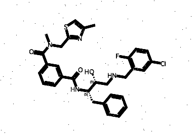 Cc1csc(CN(C)C(=O)c2cccc(C(=O)N[C@@H](Cc3ccccc3)[C@H](O)CNCc3cc(Cl)ccc3F)c2)n1